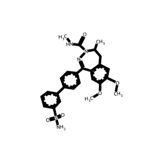 CNC(=O)N1N=C(c2ccc(-c3cccc(S(N)(=O)=O)c3)cc2)c2cc(OC)c(OC)cc2CC1C